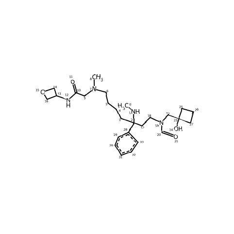 CNC(CCCCN(C)CC(=O)NC1COC1)(CCN(C=O)CC1(O)CCC1)c1ccccc1